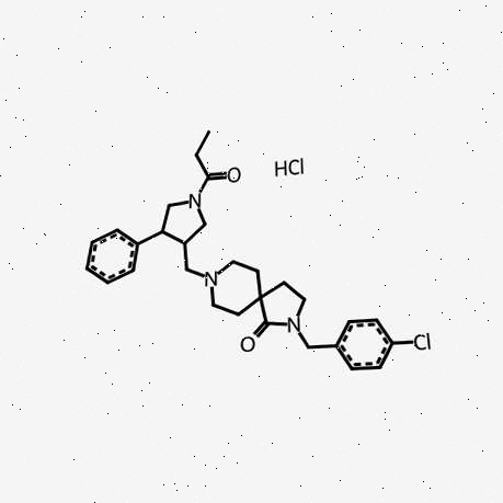 CCC(=O)N1CC(CN2CCC3(CC2)CCN(Cc2ccc(Cl)cc2)C3=O)C(c2ccccc2)C1.Cl